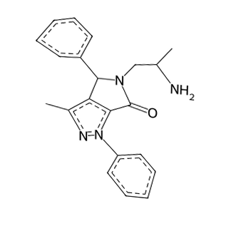 Cc1nn(-c2ccccc2)c2c1C(c1ccccc1)N(CC(C)N)C2=O